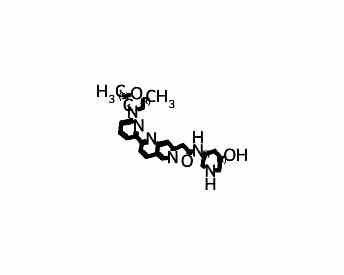 C[C@@H]1CN(c2cccc(-c3ccc4cnc(CC(=O)N[C@@H]5CNC[C@H](O)C5)cc4n3)n2)C[C@H](C)O1